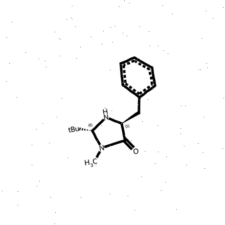 CN1C(=O)[C@H](Cc2ccccc2)N[C@H]1C(C)(C)C